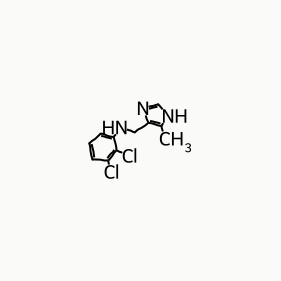 Cc1[nH]cnc1CNc1cccc(Cl)c1Cl